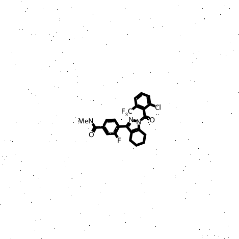 CNC(=O)c1ccc(-c2nn(C(=O)c3c(Cl)cccc3C(F)(F)F)c3c2CCCC3)c(F)c1